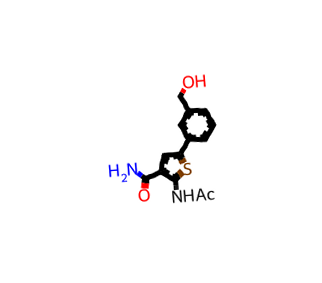 CC(=O)Nc1sc(-c2cccc(CO)c2)cc1C(N)=O